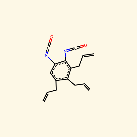 C=CCc1cc(N=C=O)c(N=C=O)c(CC=C)c1CC=C